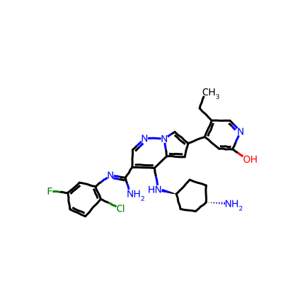 CCc1cnc(O)cc1-c1cc2c(N[C@H]3CC[C@H](N)CC3)c(/C(N)=N/c3cc(F)ccc3Cl)cnn2c1